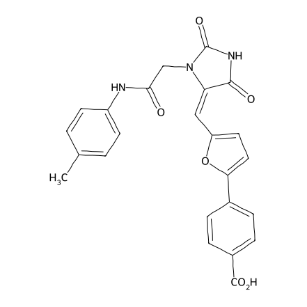 Cc1ccc(NC(=O)CN2C(=O)NC(=O)C2=Cc2ccc(-c3ccc(C(=O)O)cc3)o2)cc1